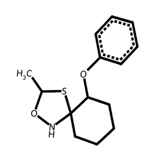 CC1ONC2(CCCCC2Oc2ccccc2)S1